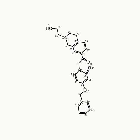 O=C(Cn1ncc(OCc2ccccc2)cc1=O)c1ccc2c(c1)CN(CCO)CC2